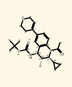 CC(=O)N1c2ccc(C3=CCOCC3)cc2[C@H](NC(=O)OC(C)(C)C)[C@@H](C)[C@@H]1C1CC1